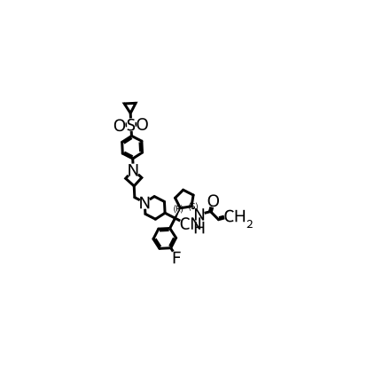 C=CC(=O)N[C@H]1CCC[C@@H]1C(C#N)(c1cccc(F)c1)C1CCN(CC2CN(c3ccc(S(=O)(=O)C4CC4)cc3)C2)CC1